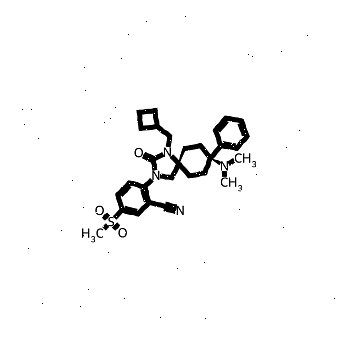 CN(C)[C@]1(c2ccccc2)CC[C@@]2(CC1)CN(c1ccc(S(C)(=O)=O)cc1C#N)C(=O)N2CC1CCC1